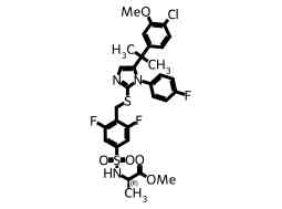 COC(=O)[C@@H](C)NS(=O)(=O)c1cc(F)c(CSc2ncc(C(C)(C)c3ccc(Cl)c(OC)c3)n2-c2ccc(F)cc2)c(F)c1